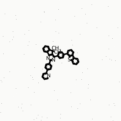 CC1(C)c2ccccc2-c2nc(-c3ccc(-c4ccccn4)cc3)nc(-c3ccc(-c4cccc5c4sc4ccccc45)cc3)c21